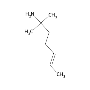 C/C=C/CCC(C)(C)N